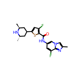 Cc1cn2cc(NC(=O)c3sc(C4C[C@H](C)N[C@@H](C)C4)cc3F)cc(F)c2n1